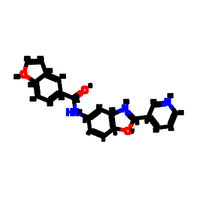 O=C(Nc1ccc2oc(-c3cccnc3)nc2c1)c1ccc2occc2c1